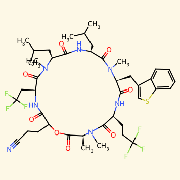 CC(C)C[C@@H]1NC(=O)[C@H](CC(C)C)N(C)C(=O)[C@H](CC(F)(F)F)NC(=O)C(CCC#N)OC(=O)[C@H](C)N(C)C(=O)[C@H](CCC(F)(F)F)NC(=O)[C@H](Cc2csc3ccccc23)N(C)C1=O